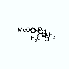 C=C/C(C(=O)c1ccc(OC)cc1)=C(Cl)\C=C(/N)Cl